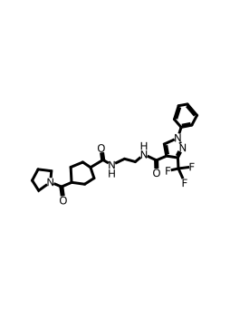 O=C(NCCNC(=O)C1CCC(C(=O)N2CCCC2)CC1)c1cn(-c2ccccc2)nc1C(F)(F)F